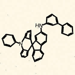 c1ccc(-c2cccc(Nc3ccc4c(c3)C3(c5ccccc5-4)c4ccccc4N(c4ccccc4)c4ccccc43)c2)cc1